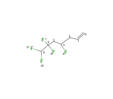 C=CCC(F)CC(F)(F)C(F)F